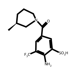 C[C@H]1CCCN(C(=O)c2cc(C(F)(F)F)c(N)c(S(=O)(=O)O)c2)C1